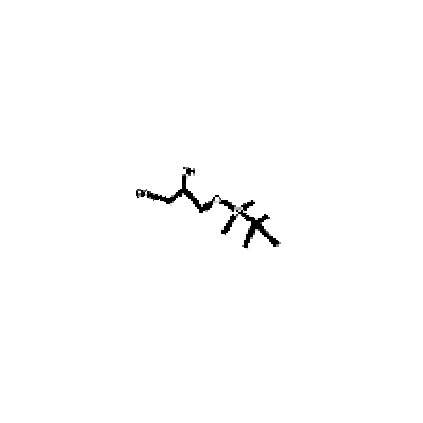 CC(C)(C)[Si](C)(C)OCC(O)CBr